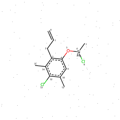 C=CCc1c(O[SiH](C)Cl)cc(C)c(Cl)c1C